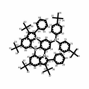 CC(C)(C)c1ccc(N(c2ccc(C(C)(C)C)cc2)c2cc3c4c(c2)-n2c(-c5ccccc5)c(C(C)(C)C)c5cc(C(C)(C)C)cc(c52)B4c2cc(C(C)(C)C)cc4c(C(C)(C)C)c(-c5ccccc5)n-3c24)cc1